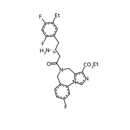 CCOC(=O)c1ncn2c1CN(C(=O)C[C@H](N)Cc1cc(CC)c(F)cc1F)Cc1ccc(F)cc1-2